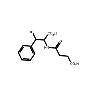 CCOC(=O)C(NC(=O)CCC(=O)O)C(O)c1ccccc1